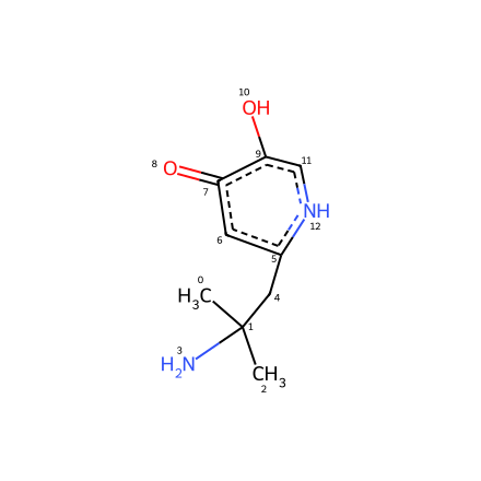 CC(C)(N)Cc1cc(=O)c(O)c[nH]1